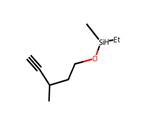 C#CC(C)CCO[SiH](C)CC